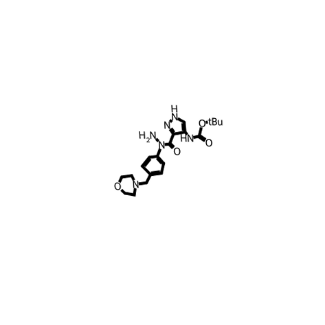 CC(C)(C)OC(=O)Nc1c[nH]nc1C(=O)N(N)c1ccc(CN2CCOCC2)cc1